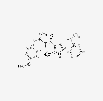 COc1ccc(CN(C)NC(=O)c2cc(-c3ccccc3OC)oc2C)cc1